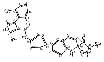 CC(C)c1onc(-c2c(Cl)cccc2Cl)c1COc1ccc(-c2ccc3c(c2)C=CC(C)(C(=O)NS)N3)cc1